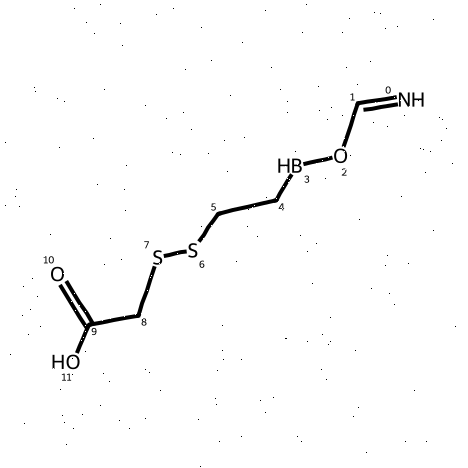 N=COBCCSSCC(=O)O